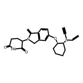 C#CN(C=C)[C@H]1CCCC[C@H]1Oc1ccc2c(c1)CN(C1CCC(=O)NC1=O)C2=C